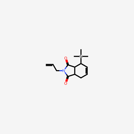 C=CCN1C(=O)C2CC=CC([Si](C)(C)C)C2C1=O